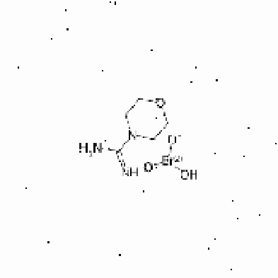 N=C(N)N1CCOCC1.[O-][Br+2]([O-])O